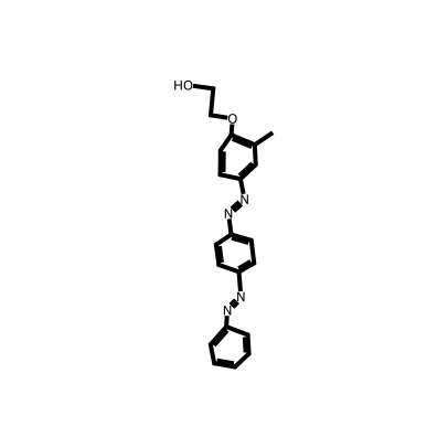 Cc1cc(/N=N/c2ccc(/N=N/c3ccccc3)cc2)ccc1OCCO